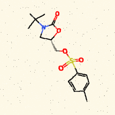 Cc1ccc(S(=O)(=O)OC[C@@H]2CN(C(C)(C)C)C(=O)O2)cc1